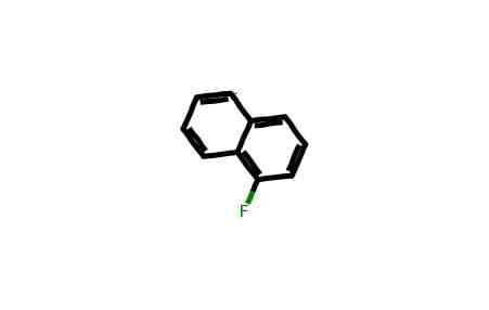 Fc1cccc2[c]cccc12